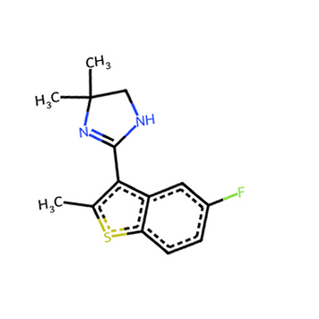 Cc1sc2ccc(F)cc2c1C1=NC(C)(C)CN1